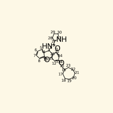 O=C(NC1c2ccccc2Oc2cc(OCC3CCCCCCC3)ccc21)C1CCCN1